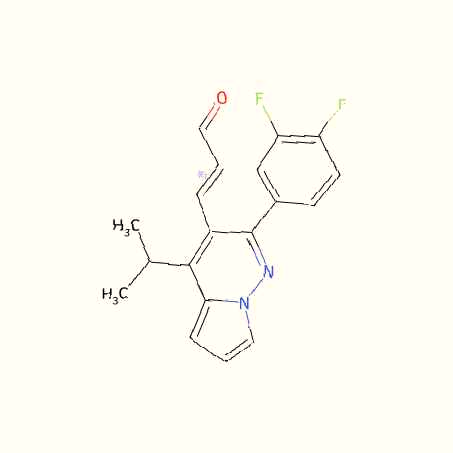 CC(C)c1c(/C=C/C=O)c(-c2ccc(F)c(F)c2)nn2cccc12